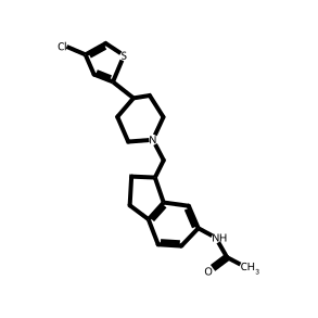 CC(=O)Nc1ccc2c(c1)C(CN1CCC(c3cc(Cl)cs3)CC1)CC2